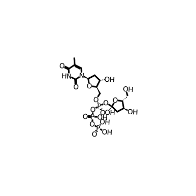 Cc1cn([C@H]2C[C@H](O)[C@@H](COP(=O)(O[C@]3(O)C[C@H](O)[C@@H](CO)O3)OP(=O)(O)OP(=O)(O)O)O2)c(=O)[nH]c1=O